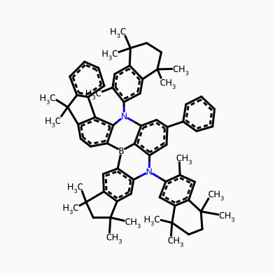 Cc1cc2c(cc1N1c3cc4c(cc3B3c5ccc6c(c5N(c5cc7c(cc5C)C(C)(C)CCC7(C)C)c5cc(-c7ccccc7)cc1c53)-c1ccccc1C6(C)C)C(C)(C)CC4(C)C)C(C)(C)CCC2(C)C